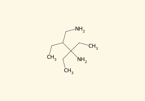 CCC(CN)C(N)(CC)CC